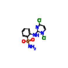 NS(=O)(=O)c1ccccc1NC1N=C(Cl)C=CN1Cl